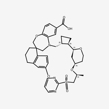 C[C@@H](CS(=O)(=O)c1ncccn1)O[C@@H]1CCO[C@H]([C@@H]2CC[C@H]2CN2CC3(CCCc4cc(Cl)ccc43)COc3ccc(C(=O)O)cc32)C1